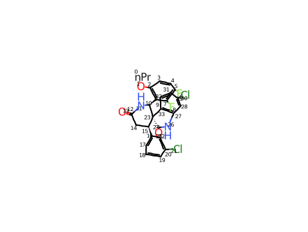 CCCOc1ccc(F)c(F)c1[C@@H]1NC(=O)C[C@H](c2cccc(Cl)c2)[C@@]12C(=O)Nc1cc(Cl)ccc12